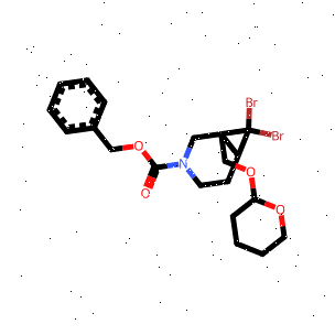 O=C(OCc1ccccc1)N1CCC2C(Br)(Br)C2(COC2CCCCO2)C1